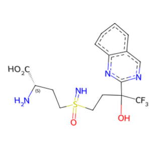 N=S(=O)(CC[C@H](N)C(=O)O)CCC(O)(c1ncc2ccccc2n1)C(F)(F)F